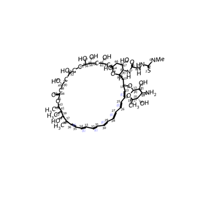 CNC(=S)NNC(=O)N[C@H]1[C@@H]2C[C@@H](O[C@@H]3O[C@H](C)[C@@H](O)[C@H](N)[C@@H]3O)/C=C/C=C/C=C/C=C/C=C/C=C/C=C/[C@H](C)[C@@H](O)[C@@H](C)[C@H](C)OC(=O)C[C@H](O)C[C@H](O)CC[C@@H](O)[C@H](O)C[C@H](O)C[C@](O)(C[C@@H]1O)O2